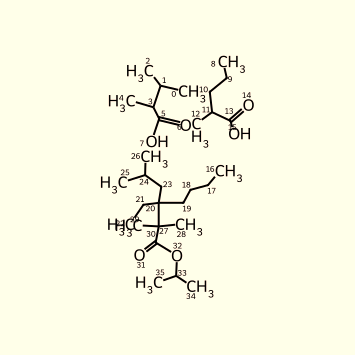 CC(C)C(C)C(=O)O.CCCC(C)C(=O)O.CCCCC(CC)(CC(C)C)C(C)(C)C(=O)OC(C)C